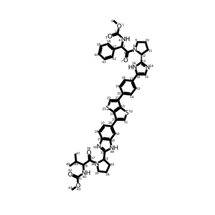 COC(=O)NC(C(=O)N1CCC[C@H]1c1ncc(-c2ccc(-c3csc4c(-c5ccc6nc(C7CCCN7C(=O)C(NC(=O)OC)C(C)C)[nH]c6c5)csc34)cc2)[nH]1)c1ccccc1